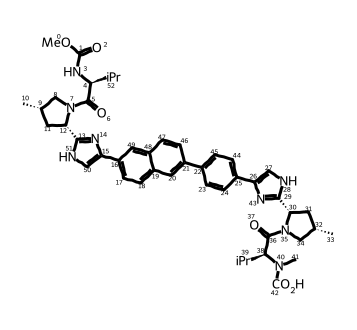 COC(=O)N[C@H](C(=O)N1C[C@@H](C)C[C@H]1c1nc(-c2ccc3cc(-c4ccc(-c5c[nH]c([C@@H]6C[C@H](C)CN6C(=O)[C@H](C(C)C)N(C)C(=O)O)n5)cc4)ccc3c2)c[nH]1)C(C)C